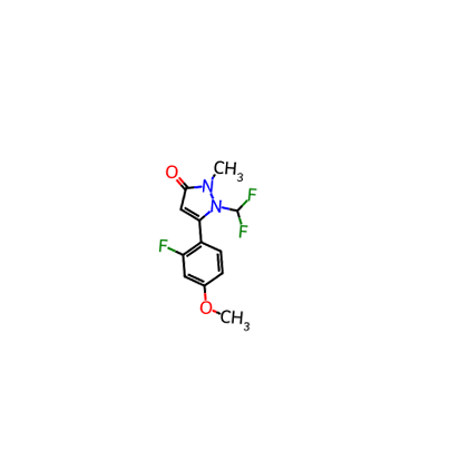 COc1ccc(-c2cc(=O)n(C)n2C(F)F)c(F)c1